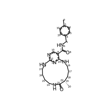 Cc1ccc(CNC(=O)c2cnc3nc2NCCC[C@H](C)C(=O)NCCCCN3)cc1